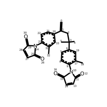 C=C(CC(C)(C)c1ccc(N2C(=O)C=CC2=O)c(C)c1)c1ccc(N2C(=O)C=CC2=O)c(C)c1